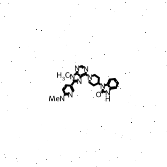 CNc1ccc(-c2nc3c(N4CCC(n5c(=O)[nH]c6ccccc65)CC4)ncnc3n2C)cn1